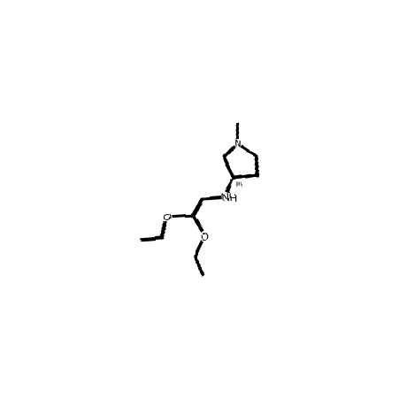 CCOC(CN[C@@H]1CCN(C)C1)OCC